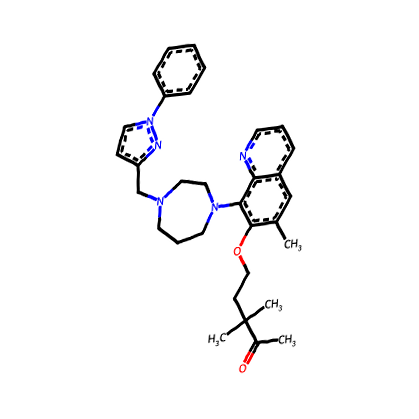 CC(=O)C(C)(C)CCOc1c(C)cc2cccnc2c1N1CCCN(Cc2ccn(-c3ccccc3)n2)CC1